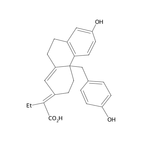 CCC(C(=O)O)=C1C=C2CCc3cc(O)ccc3C2(Cc2ccc(O)cc2)CC1